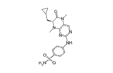 CN1C(=O)[C@H](CC2CC2)N(C)c2nc(Nc3ccc(S(N)(=O)=O)cc3)ncc21